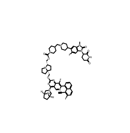 C#Cc1c(F)ccc2cccc(-c3ncc4c(N5C[C@H]6CC[C@@H](C5)N6)nc(OC[C@]56CCCN5[C@H](COC(=O)N5CCC(CN7CCC(c8cc9c(cc8F)n(C8CCC(=O)NC8=O)c(=O)n9C)CC7)CC5)CC6)nc4c3F)c12